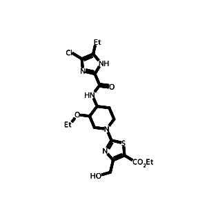 CCOC(=O)c1sc(N2CCC(NC(=O)c3nc(Cl)c(CC)[nH]3)C(OCC)C2)nc1CO